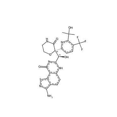 CC(C)(O)c1nc([C@]2([C@@H](O)c3nc(=O)c4c(ccc5c(N)nsc54)[nH]3)OCCNC2=O)ccc1C(F)(F)F